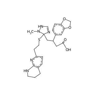 CN1NC=NC1(CC(CC(=O)O)c1ccc2c(c1)OCO2)SCCc1ccc2c(n1)NCCC2